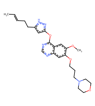 CC=CCCc1cc(Oc2ncnc3cc(OCCCN4CCOCC4)c(OC)cc23)n[nH]1